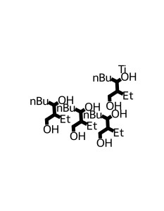 CCCCC(O)C(CC)CO.CCCCC(O)C(CC)CO.CCCCC(O)C(CC)CO.CCCCC(O)C(CC)CO.[Ti]